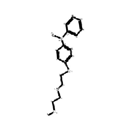 COCCOCCOc1ccc([S+]([O-])c2ccccc2)cc1